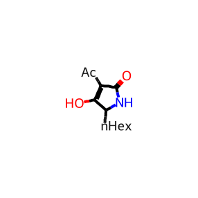 CCCCCCC1NC(=O)C(C(C)=O)=C1O